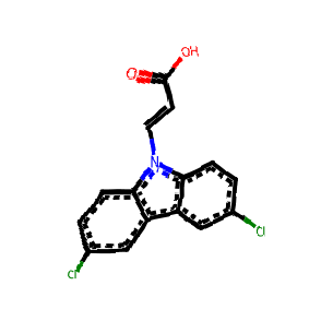 O=C(O)/C=C/n1c2ccc(Cl)cc2c2cc(Cl)ccc21